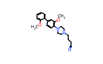 COc1ccccc1-c1ccc(N2CCN(CCCC#N)CC2)c(OC)c1